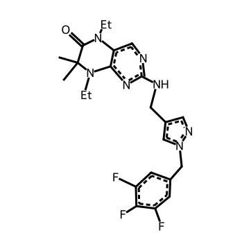 CCN1C(=O)C(C)(C)N(CC)c2nc(NCc3cnn(Cc4cc(F)c(F)c(F)c4)c3)ncc21